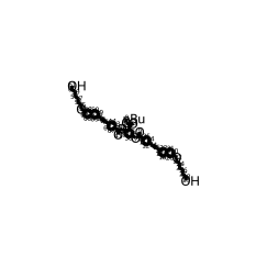 CCCCOC(=O)c1cc(OC(=O)c2ccc(C#Cc3ccc4cc(OCCCCCCO)ccc4c3)cc2)ccc1OC(=O)c1ccc(C#Cc2ccc3cc(OCCCCCCO)ccc3c2)cc1